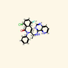 C[C@H](Nc1ncnc2cccnc12)c1cc2c(F)ccc(Cl)c2c(=O)n1-c1ccccc1